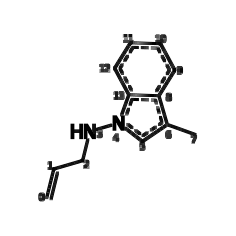 C=CCNn1cc(C)c2ccccc21